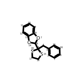 c1ccc(CC2(C3Oc4ccccc4O3)SCCS2)cc1